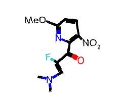 COc1ccc([N+](=O)[O-])c(C(=O)C(F)=CN(C)C)n1